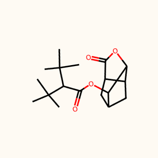 CC(C)(C)C(C(=O)OC1C2CC3C(=O)OC1C3C2)C(C)(C)C